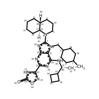 CC1CCC(Cn2c(N3CCC[C@H]4CCCC[C@@H]43)nc3nc(-c4noc(=O)[nH]4)nc(N[C@H](C)C4CCC4)c32)CC1